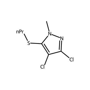 CCCSc1c(Cl)c(Cl)nn1C